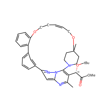 COC(=O)[C@@H](OC(C)(C)C)c1c(C)nc2cc3nn2c1N1CCC(C)(CC1)OCC=CCCOc1ccccc1-c1cccc-3c1